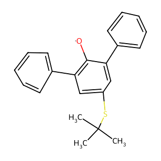 CC(C)(C)Sc1cc(-c2ccccc2)c([O])c(-c2ccccc2)c1